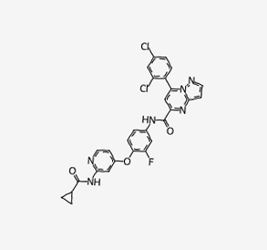 O=C(Nc1ccc(Oc2ccnc(NC(=O)C3CC3)c2)c(F)c1)c1cc(-c2ccc(Cl)cc2Cl)n2nccc2n1